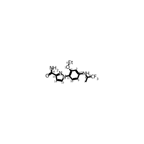 CCOc1cc(NC(C)C(F)(F)F)ccc1-n1ccc(C(N)=O)n1